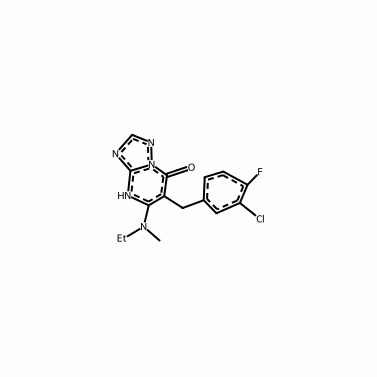 CCN(C)c1[nH]c2ncnn2c(=O)c1Cc1ccc(F)c(Cl)c1